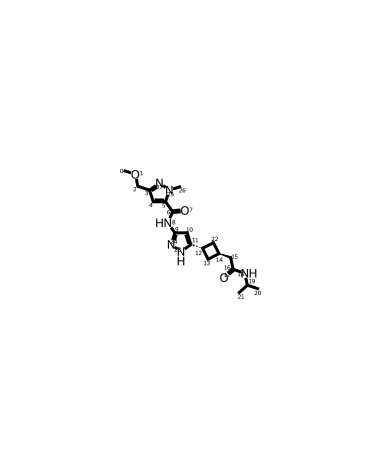 COCc1cc(C(=O)Nc2cc([C@H]3C[C@H](CC(=O)NC(C)C)C3)[nH]n2)n(C)n1